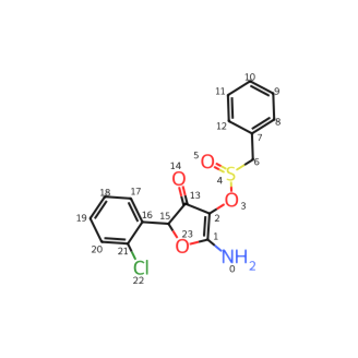 NC1=C(OS(=O)Cc2ccccc2)C(=O)C(c2ccccc2Cl)O1